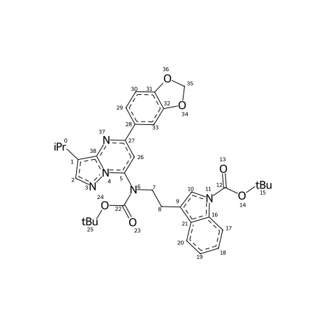 CC(C)c1cnn2c(N(CCc3cn(C(=O)OC(C)(C)C)c4ccccc34)C(=O)OC(C)(C)C)cc(-c3ccc4c(c3)OCO4)nc12